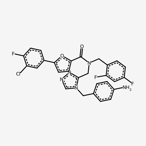 Nc1ccc(Cn2cnnc2CN(Cc2ccc(F)cc2F)C(=O)c2ccc(-c3ccc(F)c(Cl)c3)o2)cc1